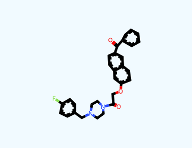 O=C(c1ccccc1)c1ccc2cc(OCC(=O)N3CCN(Cc4ccc(F)cc4)CC3)ccc2c1